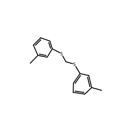 Cc1cccc(SCSc2cccc(C)c2)c1